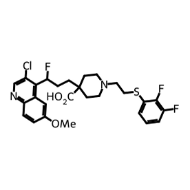 COc1ccc2ncc(Cl)c(C(F)CCC3(C(=O)O)CCN(CCSc4cccc(F)c4F)CC3)c2c1